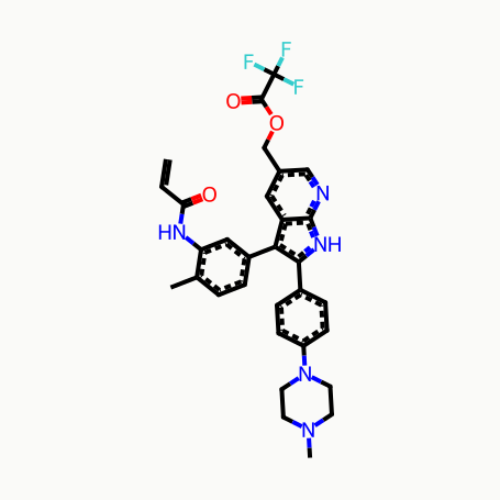 C=CC(=O)Nc1cc(-c2c(-c3ccc(N4CCN(C)CC4)cc3)[nH]c3ncc(COC(=O)C(F)(F)F)cc23)ccc1C